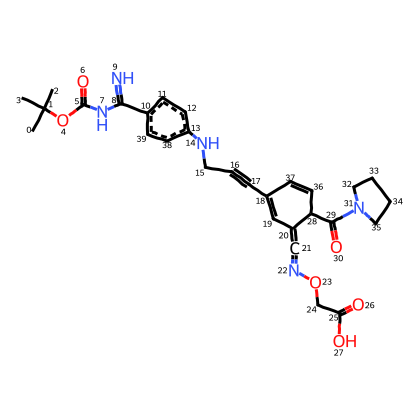 CC(C)(C)OC(=O)NC(=N)c1ccc(NCC#CC2=CC(=C=NOCC(=O)O)C(C(=O)N3CCCC3)C=C2)cc1